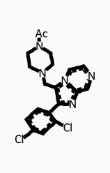 CC(=O)N1CCN(Cc2c(-c3ccc(Cl)cc3Cl)nc3cnccn23)CC1